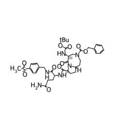 CC(C)(C)OC(=O)N[C@H]1CN(C(=O)OCc2ccccc2)CC[C@H]2CC[C@@H](C(=O)NC(CCC(N)=O)C(=O)NCc3ccc(S(C)(=O)=O)cc3)N2C1=O